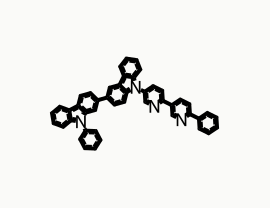 c1ccc(-c2ccc(-c3ccc(-n4c5ccccc5c5cc(-c6ccc7c8ccccc8n(-c8ccccc8)c7c6)ccc54)cn3)cn2)cc1